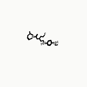 C=C(CC(CCF)CCNc1ccc(NCC)cc1)N1CC=CCC(C)C1